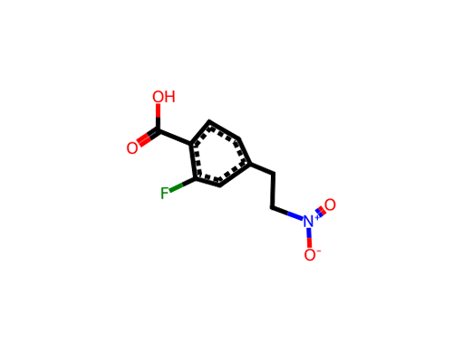 O=C(O)c1ccc(CC[N+](=O)[O-])cc1F